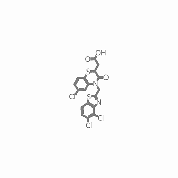 O=C(O)CC1Sc2ccc(Cl)cc2N(Cc2nc3c(Cl)c(Cl)ccc3s2)C1=O